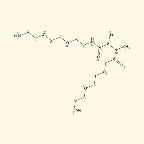 COCCOCCOCC(=O)N(C)C(C(=O)NCCOCCOCCN)C(C)C